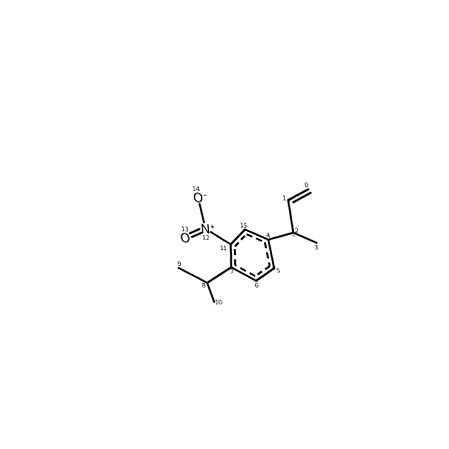 C=C[C](C)c1ccc(C(C)C)c([N+](=O)[O-])c1